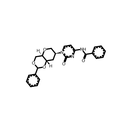 O=C(Nc1ccn([C@@H]2CO[C@@H]3COC(c4ccccc4)O[C@H]3C2)c(=O)n1)c1ccccc1